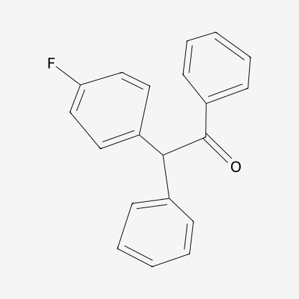 O=C(c1ccccc1)C(c1ccccc1)c1ccc(F)cc1